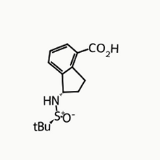 CC(C)(C)[S@+]([O-])N[C@H]1CCc2c(C(=O)O)cccc21